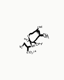 O=C(O)C(CO)NC1(O)OCC(O)C(O)C1O